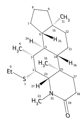 CCS[C@@H]1[C@H](C)[C@H]2[C@@H]3CCC[C@@]3(C)CC[C@@H]2[C@@]2(C)CCC(=O)N(C)[C@H]12